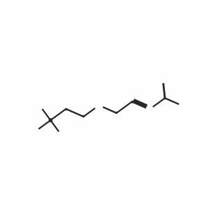 CC(C)/N=C/COCCC(C)(C)C